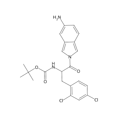 CC(C)(C)OC(=O)NC(Cc1ccc(Cl)cc1Cl)C(=O)n1cc2ccc(N)cc2c1